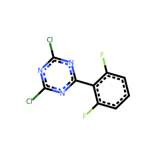 Fc1cccc(F)c1-c1nc(Cl)nc(Cl)n1